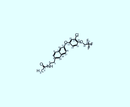 CC(=O)NCCc1ccc2cc(Oc3ccc(OCC(F)(F)F)c(Cl)c3)ccc2c1